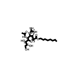 CCCCCCCCOC(=O)[C@]1(F)OC([C@H](O)[C@H](O)CO)[C@H](NC(C)=O)C(NC(=N)N)[C@@H]1F